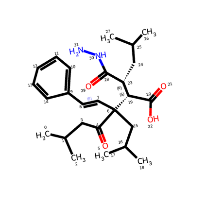 CC(C)CC(=O)C(/C=C/c1ccccc1)(CC(C)C)[C@@H](C(=O)O)[C@@H](CC(C)C)C(=O)NN